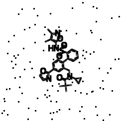 Cc1noc(NS(=O)(=O)c2ccccc2-c2ccc(-c3ncco3)cc2CN(C(=O)C(C)(C)C)C2CC2)c1C